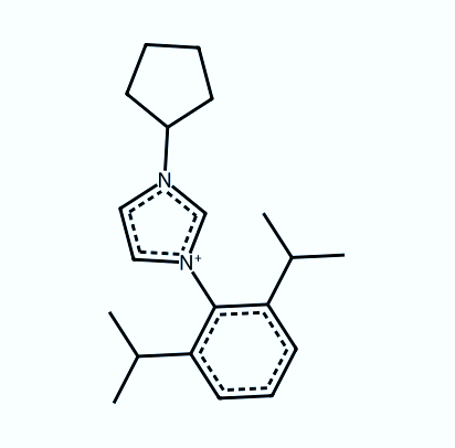 CC(C)c1cccc(C(C)C)c1-[n+]1ccn(C2CCCC2)c1